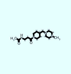 CC(=O)NCCC(=O)N1CCC(CN2CCN(C)CC2)CC1